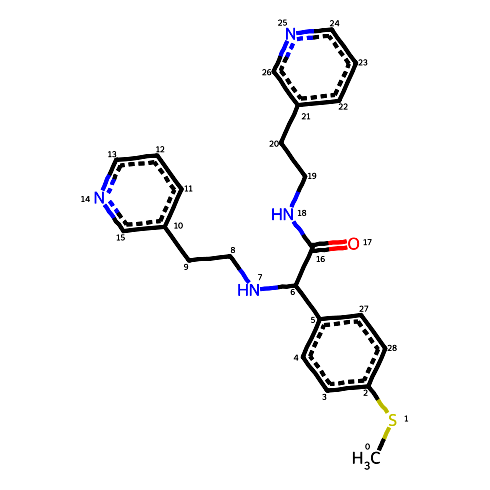 CSc1ccc(C(NCCc2cccnc2)C(=O)NCCc2cccnc2)cc1